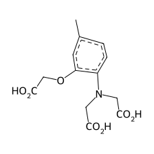 Cc1ccc(N(CC(=O)O)CC(=O)O)c(OCC(=O)O)c1